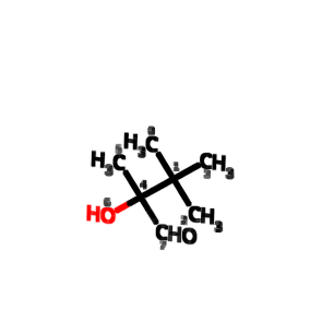 CC(C)(C)C(C)(O)C=O